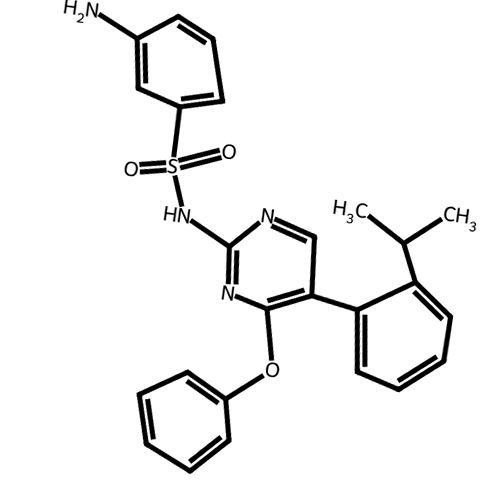 CC(C)c1ccccc1-c1cnc(NS(=O)(=O)c2cccc(N)c2)nc1Oc1ccccc1